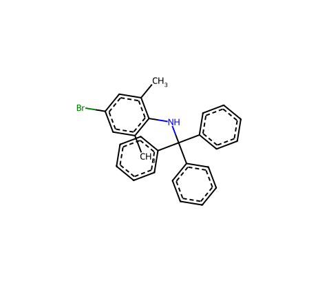 Cc1cc(Br)cc(C)c1NC(c1ccccc1)(c1ccccc1)c1ccccc1